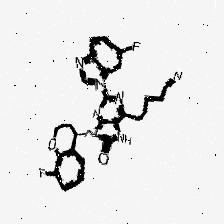 N#CCCCc1nc(-n2cnc3ccc(F)cc32)nc2c1[nH]c(=O)n2[C@@H]1CCOc2c(F)cccc21